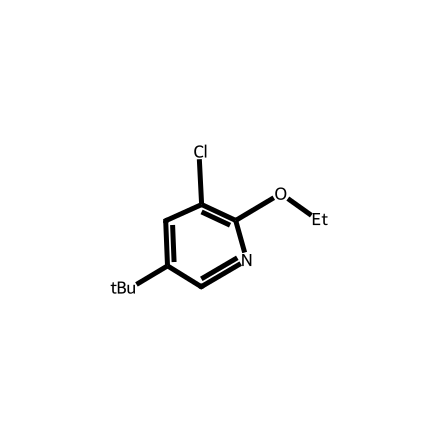 CCOc1ncc(C(C)(C)C)cc1Cl